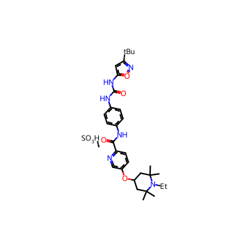 CCN1C(C)(C)CC(Oc2ccc(C(=O)Nc3ccc(NC(=O)Nc4cc(C(C)(C)C)no4)cc3)nc2)CC1(C)C.CS(=O)(=O)O